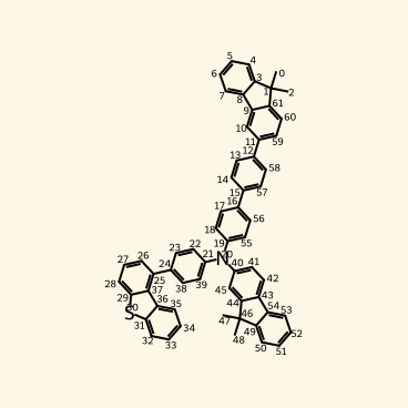 CC1(C)c2ccccc2-c2cc(-c3ccc(-c4ccc(N(c5ccc(-c6cccc7sc8ccccc8c67)cc5)c5ccc6c(c5)C(C)(C)c5ccccc5-6)cc4)cc3)ccc21